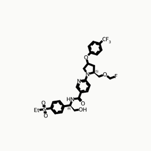 CCS(=O)(=O)c1ccc([C@H](CO)NC(=O)c2ccc(N3CC(Oc4ccc(C(F)(F)F)cc4)C[C@H]3COCF)nc2)cc1